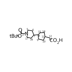 CC(C)(C)OC(=O)N1CCC(C2CCC(CC(=O)O)CC2)CC1